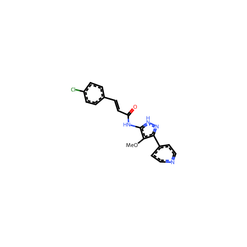 COc1c(-c2ccncc2)n[nH]c1NC(=O)C=Cc1ccc(Cl)cc1